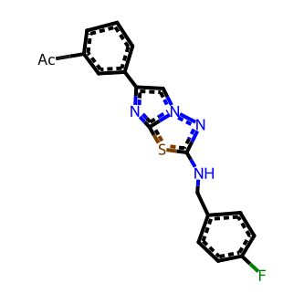 CC(=O)c1cccc(-c2cn3nc(NCc4ccc(F)cc4)sc3n2)c1